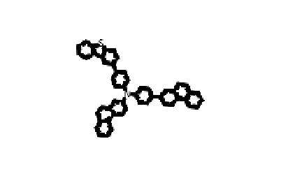 c1ccc2c(c1)ccc1cc(-c3ccc(N(c4ccc(-c5ccc6sc7ccccc7c6c5)cc4)c4ccc5c(ccc6ccccc65)c4)cc3)ccc12